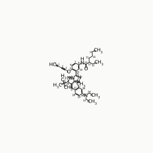 C#CC#COc1ccc(NC(=O)C(CC)CCCC)cc1-c1nnc2/c(=C\c3ccc(N(CC)CC)cc3C)c(C(C)(C)C)nn12